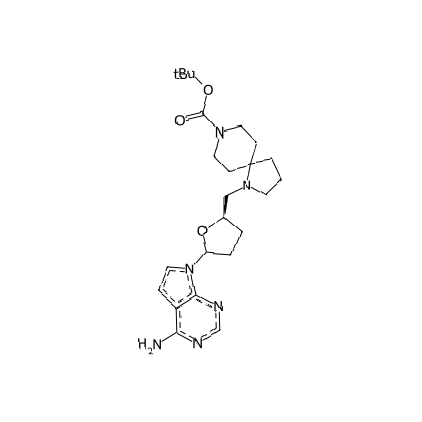 CC(C)(C)OC(=O)N1CCC2(CCCN2C[C@H]2CCC(n3ccc4c(N)ncnc43)O2)CC1